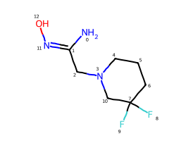 N/C(CN1CCCC(F)(F)C1)=N\O